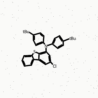 CC(C)(C)c1ccc(N(c2ccc(C(C)(C)C)cc2)c2cc(Cl)cc3c2sc2ccccc23)cc1